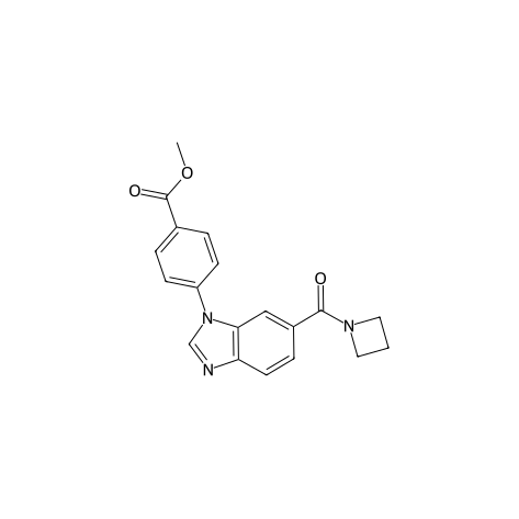 COC(=O)c1ccc(-n2cnc3ccc(C(=O)N4CCC4)cc32)cc1